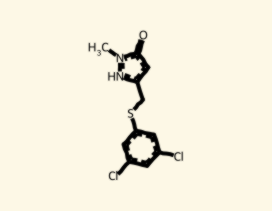 Cn1[nH]c(CSc2cc(Cl)cc(Cl)c2)cc1=O